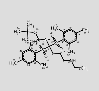 CCNCCCC(NC(=O)OC(C)(C)C)(S(=O)(=O)c1c(C)cc(C)cc1C)S(=O)(=O)c1c(C)cc(C)cc1C